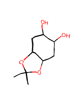 CC1(C)OC2CC(O)C(O)CC2O1